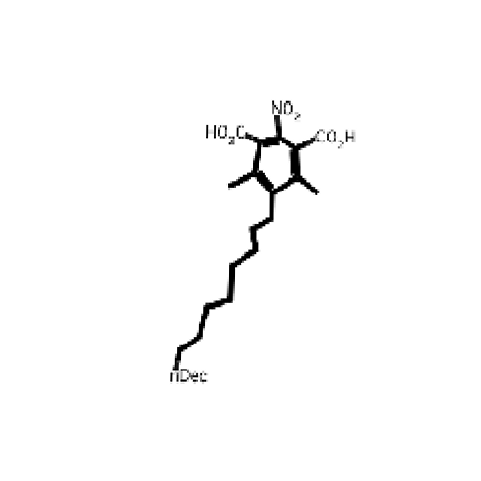 CCCCCCCCCCCCCCCCCCc1c(C)c(C(=O)O)c([N+](=O)[O-])c(C(=O)O)c1C